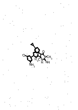 CN1C(=N)N[C@](C)(c2cc(-c3cc(N)cc(Cl)c3)ccn2)C(c2ccc(C3CC3)cc2)C1=O